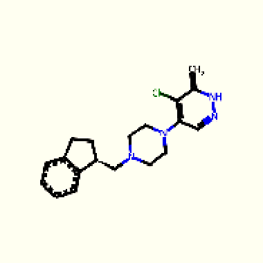 C=C1NN=CC(N2CCN(C[C@@H]3CCc4ccccc43)CC2)=C1Cl